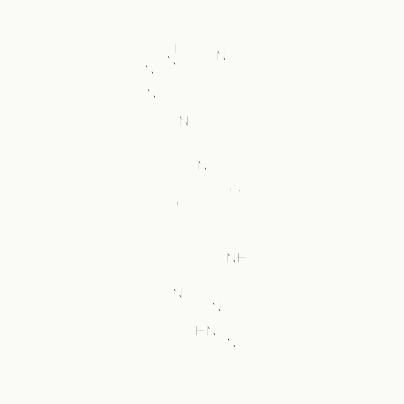 O=C(C(=O)N1CCN(c2nn[nH]c2-c2ccccn2)CC1)c1c[nH]c2c(N3C=CNN3)ncc(F)c12